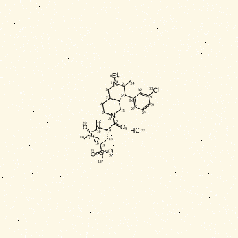 CCN(CC1CCN(C(=O)[C@H](CCS(C)(=O)=O)NS(C)(=O)=O)CC1)C(C)Cc1cccc(Cl)c1.Cl